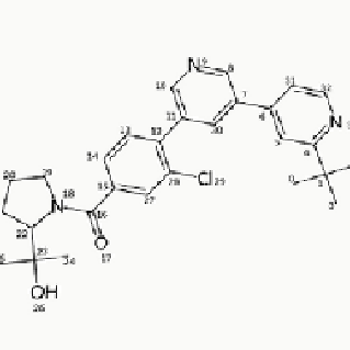 CC(C)(C)c1cc(-c2cncc(-c3ccc(C(=O)N4CCCC4C(C)(C)O)cc3Cl)c2)ccn1